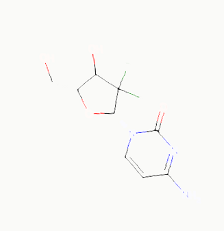 Nc1ccn([C@@H]2O[C@H](CO)C(O)C2(F)F)c(=O)n1